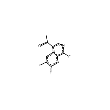 CC(=O)c1cnc(Cl)c2cc(F)c(F)cc12